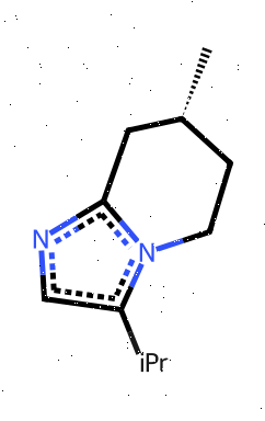 CC(C)c1cnc2n1CC[C@@H](C)C2